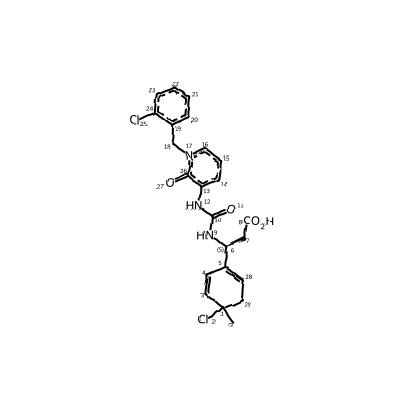 CC1(Cl)C=CC([C@H](CC(=O)O)NC(=O)Nc2cccn(Cc3ccccc3Cl)c2=O)=CC1